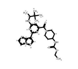 CCOC(=O)NC1CCN(C(=O)c2cc(NC(C)C(C)(C)C)nc(-c3cnn4ccsc34)n2)CC1